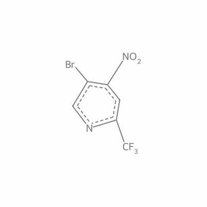 O=[N+]([O-])c1cc(C(F)(F)F)ncc1Br